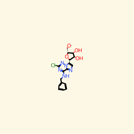 [O]C[C@H]1O[C@@H](c2cnc3c(NCc4ccccc4)nc(Cl)nn23)[C@H](O)[C@@H]1O